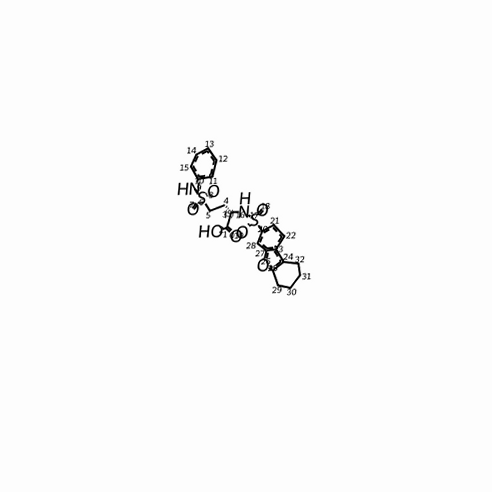 O=C(O)[C@H](CCS(=O)(=O)Nc1ccccc1)NS(=O)(=O)c1ccc2c3c(oc2c1)CCCC3